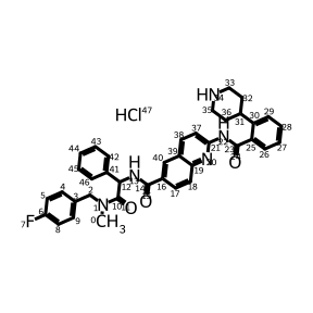 CN(Cc1ccc(F)cc1)C(=O)C(NC(=O)c1ccc2nc(NC(=O)c3ccccc3C3CCNCC3)ccc2c1)c1ccccc1.Cl